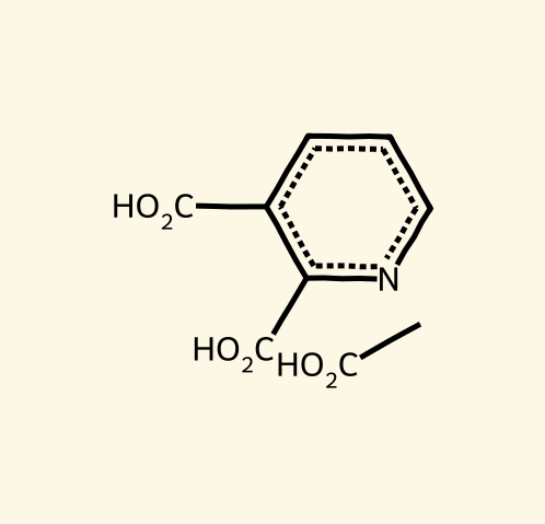 CC(=O)O.O=C(O)c1cccnc1C(=O)O